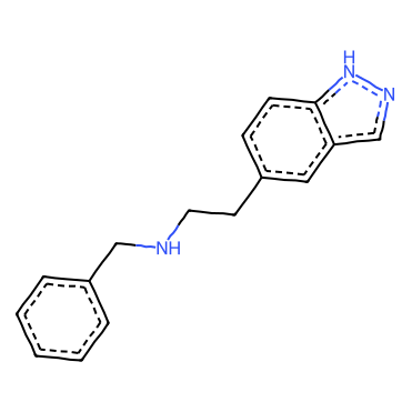 c1ccc(CNCCc2ccc3[nH]ncc3c2)cc1